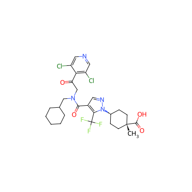 C[C@]1(C(=O)O)CC[C@H](n2ncc(C(=O)N(CC(=O)c3c(Cl)cncc3Cl)CC3CCCCC3)c2C(F)(F)F)CC1